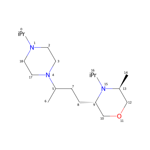 CC(C)N1CCN(C(C)CC[C@H]2COC[C@H](C)N2C(C)C)CC1